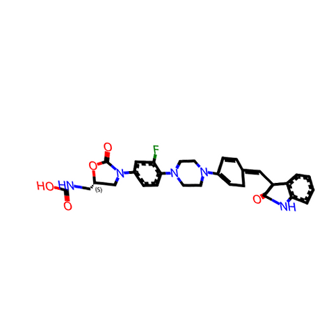 O=C(O)NC[C@H]1CN(c2ccc(N3CCN(C4=CCC(=CC5C(=O)Nc6ccccc65)C=C4)CC3)c(F)c2)C(=O)O1